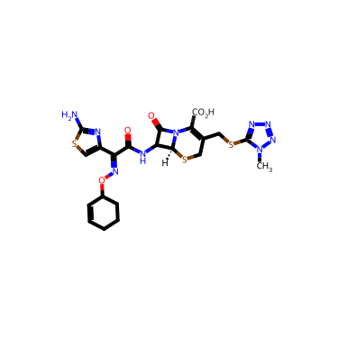 Cn1nnnc1SCC1=C(C(=O)O)N2C(=O)C(NC(=O)C(=NOC3C=CCCC3)c3csc(N)n3)[C@@H]2SC1